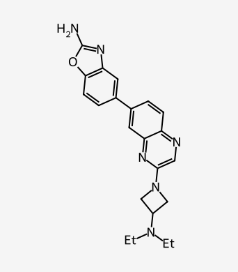 CCN(CC)C1CN(c2cnc3ccc(-c4ccc5oc(N)nc5c4)cc3n2)C1